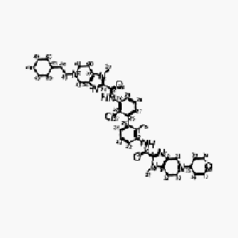 Cc1c(NC(=O)c2nc3c(n2C)CCN(C2CCOCC2)C3)cccc1-c1cccc(NC(=O)c2nc3c(n2C)CCN(CCC2CCCCC2)C3)c1Cl